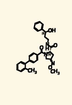 CON=C1C[C@@H](C(=O)NCC[C@H](O)c2ccccc2)N(C(=O)c2ccc(-c3ccccc3C)cc2)C1